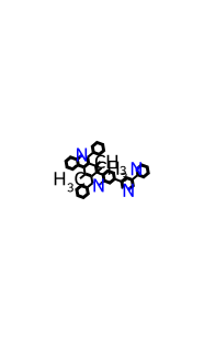 CC1=C2C(c3ccccc3)=Nc3cc(-c4cncc(-c5ccccn5)c4)ccc3C2(C)C(C)c2c(-c3ccccc3)nc3ccccc3c21